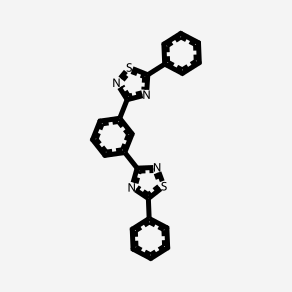 c1ccc(-c2nc(-c3cccc(-c4nsc(-c5ccccc5)n4)c3)ns2)cc1